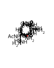 CC(=O)N[C@@H](CCCNC(=N)N)C(=O)NC1CCC(=O)NCCCC(C(N)=O)NC(=O)[C@H](Cc2c[nH]c3ccccc23)NC(=O)[C@H](CCCNC(=N)N)NC(=O)C(Cc2ccccc2)NC(=O)[C@@H]2CC(N)CN2C1=O